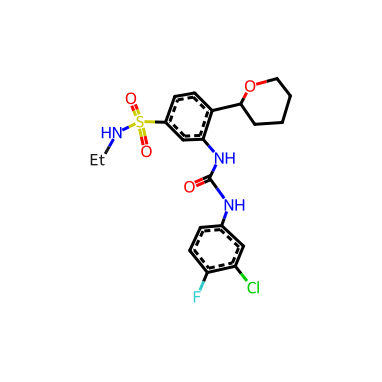 CCNS(=O)(=O)c1ccc(C2CCCCO2)c(NC(=O)Nc2ccc(F)c(Cl)c2)c1